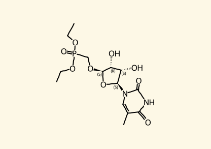 CCOP(=O)(CO[C@@H]1O[C@H](n2cc(C)c(=O)[nH]c2=O)[C@@H](O)[C@H]1O)OCC